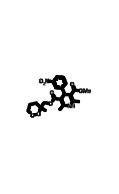 COC(=O)C1=C(C)NC(C)=C(C(=O)OCC2(C)CCCOO2)C1c1cccc([N+](=O)[O-])c1